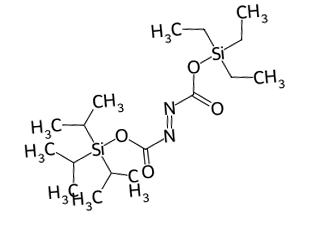 CC[Si](CC)(CC)OC(=O)N=NC(=O)O[Si](C(C)C)(C(C)C)C(C)C